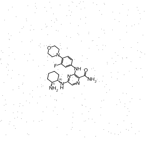 NC(=O)c1ncc(N[C@@H]2CCCC[C@@H]2N)nc1Nc1ccc(N2CCOCC2)c(F)c1